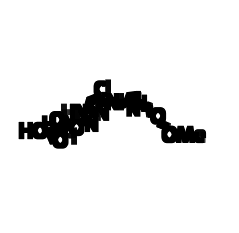 COCCOCCn1ccc(CNc2nc3nc(O[C@@H]4CO[C@H]5[C@@H]4OC[C@H]5O)[nH]c3cc2Cl)n1